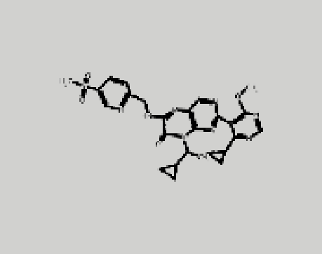 COc1ncnc(C2CC2)c1-c1ncc2nc(NCc3ccc(S(C)(=O)=O)cn3)c(=O)n(C(C)C3CC3)c2n1